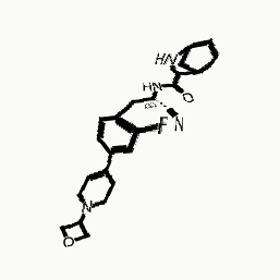 N#C[C@H](Cc1ccc(C2=CCN(C3COC3)CC2)cc1F)NC(=O)C1NC2CCC1C2